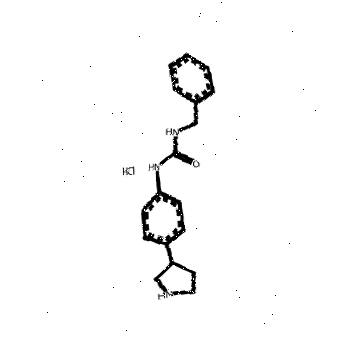 Cl.O=C(NCc1ccccc1)Nc1ccc(C2CCNC2)cc1